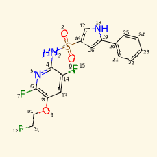 O=S(=O)(Nc1nc(F)c(OCCF)cc1F)c1c[nH]c(-c2ccccc2)c1